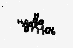 CCCCC(COC(C)=O)C(=O)O